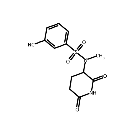 CN(C1CCC(=O)NC1=O)S(=O)(=O)c1cccc(C#N)c1